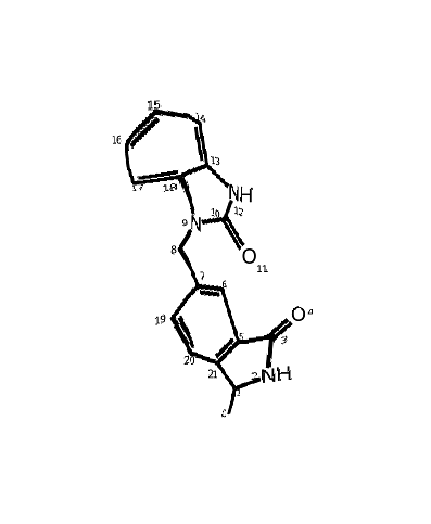 CC1NC(=O)c2cc(Cn3c(=O)[nH]c4ccccc43)ccc21